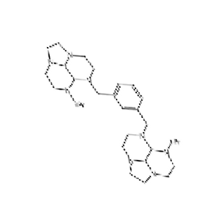 CCCN1CCN2CCN3CCN(Cc4cccc(CN5CCN6CCN7CCN(CCC)C5C76)c4)C1C23